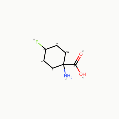 NC1(C(=O)O)CCC(F)CC1